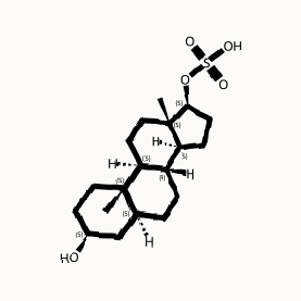 C[C@]12CC[C@H](O)C[C@@H]1CC[C@@H]1[C@@H]2CC[C@]2(C)[C@@H](OS(=O)(=O)O)CC[C@@H]12